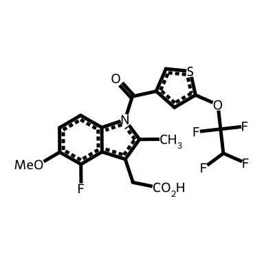 COc1ccc2c(c1F)c(CC(=O)O)c(C)n2C(=O)c1csc(OC(F)(F)C(F)F)c1